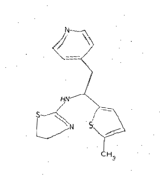 Cc1ccc(C(Cc2ccncc2)NC2=NCCS2)s1